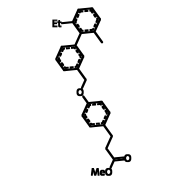 CCc1cccc(C)c1-c1cccc(COc2ccc(CCC(=O)OC)cc2)c1